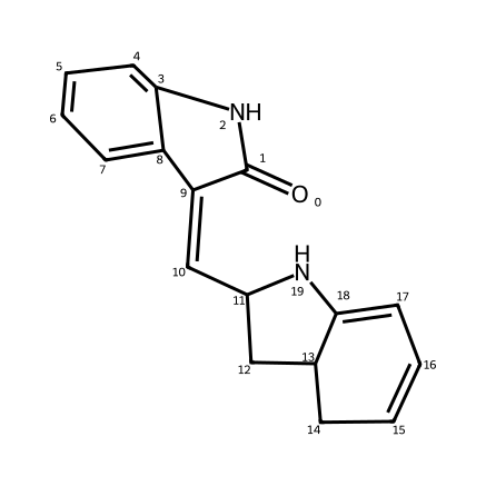 O=C1Nc2ccccc2C1=CC1CC2CC=CC=C2N1